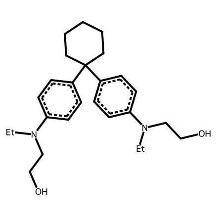 CCN(CCO)c1ccc(C2(c3ccc(N(CC)CCO)cc3)CCCCC2)cc1